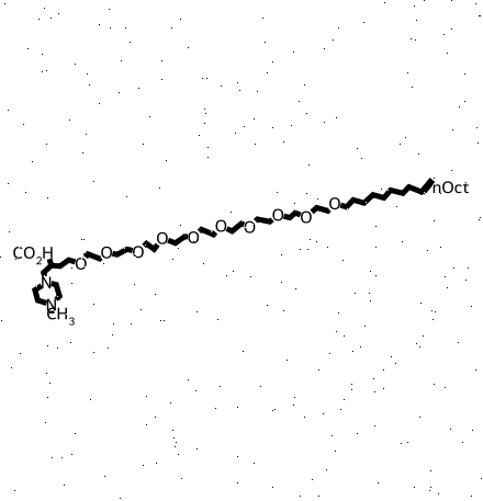 CCCCCCCCC=CCCCCCCCCOCCOCCOCCOCCOCCOCCOCCOCCOCCOCCC(CN1CCN(C)CC1)C(=O)O